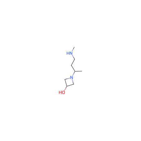 CNCCC(C)N1CC(O)C1